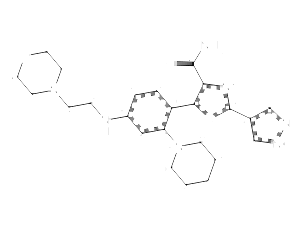 NC(=O)c1nc(-c2cn[nH]c2)sc1-c1ccc(NCCN2CCOCC2)cc1N1CCCCC1